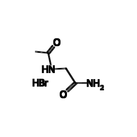 Br.CC(=O)NCC(N)=O